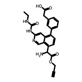 C#CCOC(=O)C(N)c1ccc(-c2cccc(CC(=O)O)c2)c2cc(NC(=O)NCC)ncc12